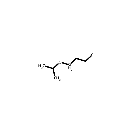 CC(C)O[SiH2]CCCl